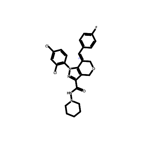 O=C(NN1CCCCC1)c1nn(-c2ccc(Cl)cc2Cl)c2c1COC/C2=C\c1ccc(F)cc1